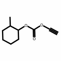 C#COC(=O)OC1CCCCC1C